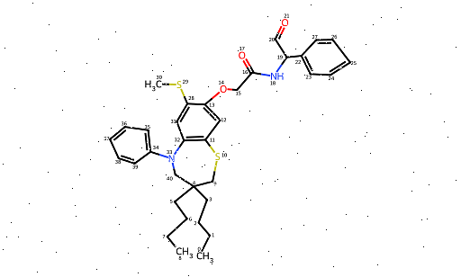 CCCCC1(CCCC)CSc2cc(OCC(=O)NC(C=O)c3ccccc3)c(SC)cc2N(c2ccccc2)C1